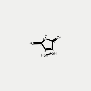 O=C1C=CC(=O)N1.SS